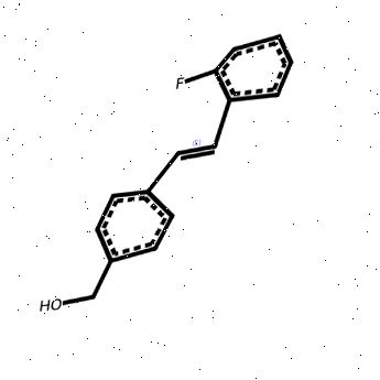 OCc1ccc(/C=C/c2ccccc2F)cc1